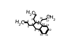 C=CC[C]1C(CC=C)Cc2ccccc2N1CC=C